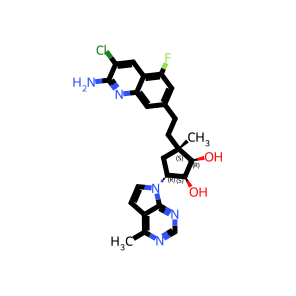 Cc1ncnc2c1ccn2[C@@H]1C[C@](C)(CCc2cc(F)c3cc(Cl)c(N)nc3c2)[C@@H](O)[C@H]1O